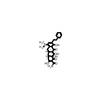 CN(C)c1cc(CCc2ccccc2)c(O)c2c1C[C@H]1C[C@H]3CC(O)=C(C(N)=O)C(=O)[C@@]3(O)C(O)=C1C2=O